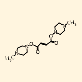 CN1CCN(OC(=O)/C=C/C(=O)ON2CCN(C)CC2)CC1